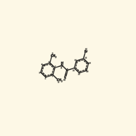 Cc1cccc(C)c1NC(=S)c1cccc(Br)c1